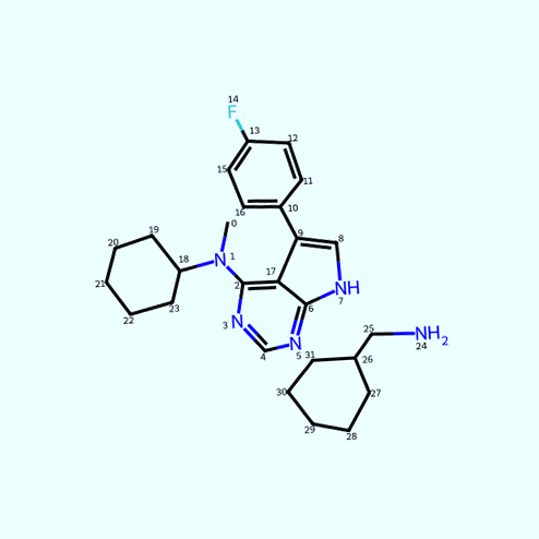 CN(c1ncnc2[nH]cc(-c3ccc(F)cc3)c12)C1CCCCC1.NCC1CCCCC1